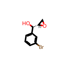 OC(c1cccc(Br)c1)[C@@H]1CO1